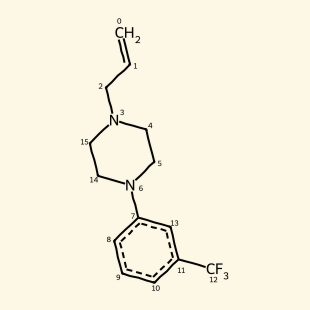 C=CCN1CCN(c2cccc(C(F)(F)F)c2)CC1